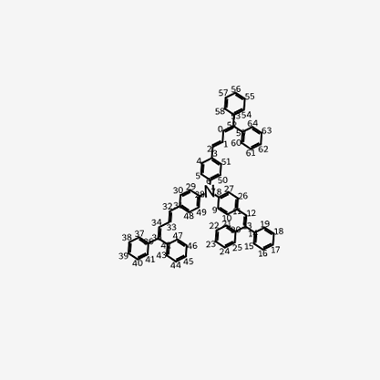 C(/C=C/c1ccc(N(c2ccc(C=C(c3ccccc3)c3ccccc3)cc2)c2ccc(/C=C/C=C(c3ccccc3)c3ccccc3)cc2)cc1)=C(c1ccccc1)c1ccccc1